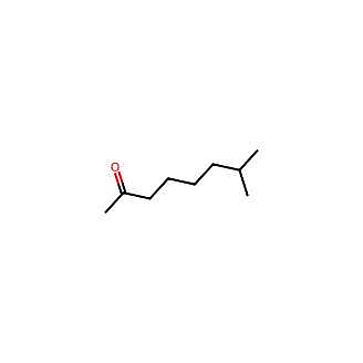 CC(=O)CCCCC(C)C